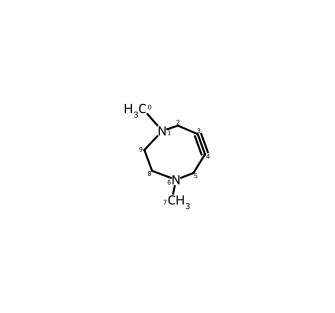 CN1CC#CCN(C)CC1